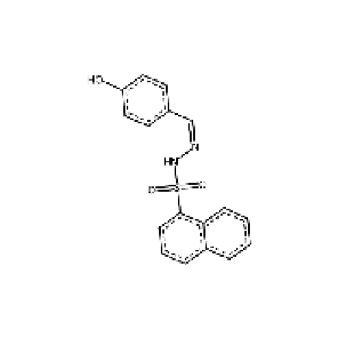 O=S(=O)(N/N=C\c1ccc(O)cc1)c1cccc2ccccc12